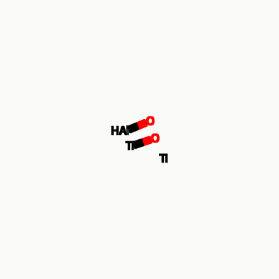 [O]=[AlH].[O]=[Ti].[Ti]